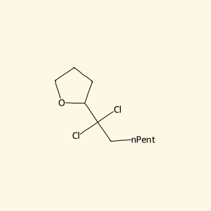 CCCCCCC(Cl)(Cl)C1CCCO1